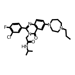 CCCN1CCCN(c2ccc3nc(-c4ccc(F)c(Cl)c4)n(CC(=O)NC(C)C)c(=O)c3c2)CC1